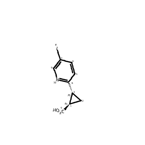 O=C(O)[C@@H]1C[C@H]1c1ccc(I)cn1